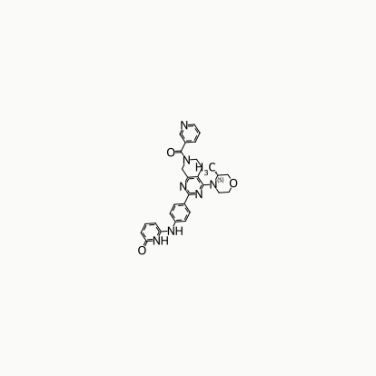 C[C@H]1COCCN1c1nc(-c2ccc(Nc3cccc(=O)[nH]3)cc2)nc2c1CCN(C(=O)c1cccnc1)C2